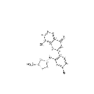 O=C(O)[C@@H]1CC[C@@H](Oc2cc(Br)ccc2-c2cc(=O)c3cccc(Cl)c3o2)C1